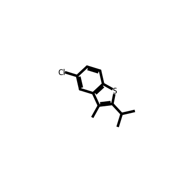 Cc1c(C(C)C)sc2ccc(Cl)cc12